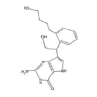 Nc1nc2c(C(CO)c3ccccc3CCCCO)c[nH]c2c(=O)[nH]1